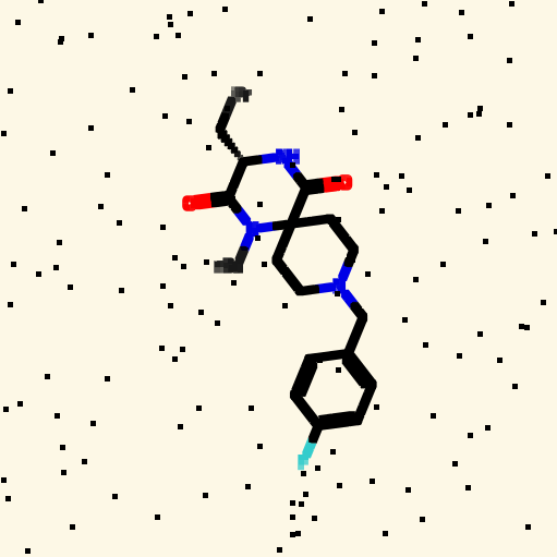 CCCCN1C(=O)[C@H](CC(C)C)NC(=O)C12CCN(Cc1ccc(F)cc1)CC2